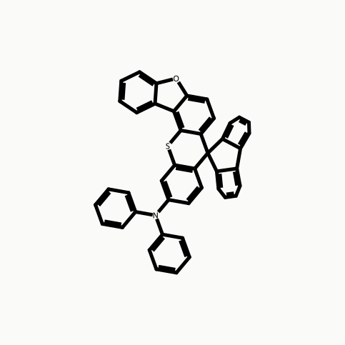 c1ccc(N(c2ccccc2)c2ccc3c(c2)Sc2c(ccc4oc5ccccc5c24)C32c3ccccc3-c3ccccc32)cc1